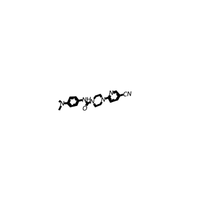 CN(C)c1ccc(NC(=O)N2CCN(c3ccc(C#N)cn3)CC2)cc1